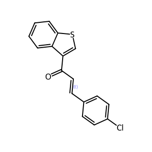 O=C(/C=C/c1ccc(Cl)cc1)c1csc2ccccc12